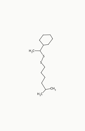 CC(C)CCCCSSC(C)C1CCCCC1